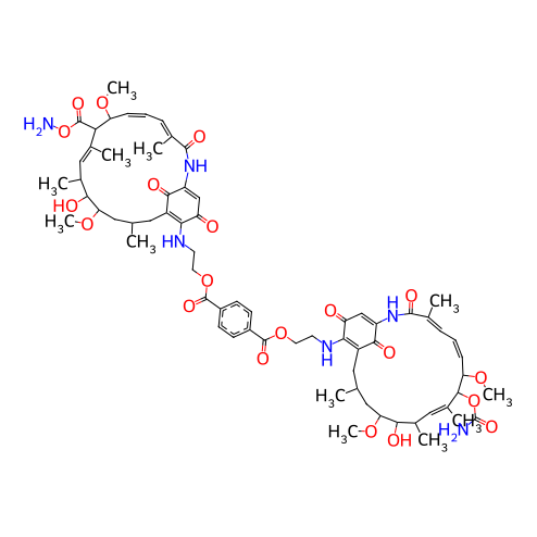 COC1/C=C\C=C(/C)C(=O)NC2=CC(=O)C(NCCOC(=O)c3ccc(C(=O)OCCNC4=C5CC(C)CC(OC)C(O)C(C)/C=C(\C)C(C(=O)ON)C(OC)/C=C\C=C(/C)C(=O)NC(=CC4=O)C5=O)cc3)=C(CC(C)CC(OC)C(O)C(C)/C=C(\C)C1OC(N)=O)C2=O